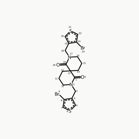 O=C1N(Cc2cscc2Br)CCCC12CCCN(Cc1cscc1Br)C2=O